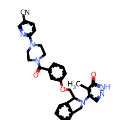 Cc1c(N2Cc3ccccc3C2COc2cccc(C(=O)N3CCN(c4ccc(C#N)cn4)CC3)c2)cn[nH]c1=O